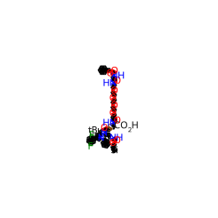 CC(C)(C)C(c1cc(-c2cc(F)ccc2F)cn1Cc1ccccc1)N(CCCNC(=O)OCC[Si](C)(C)C)C(=O)CSCC(NC(=O)CCOCCOCCOCCOCCNC(=O)CNC(=O)OCc1ccccc1)C(=O)O